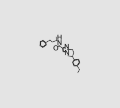 CCc1ccc(C2CCc3nc(C(=O)NC(C)CCc4ccccc4)cn3C2)cc1